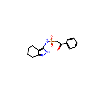 O=C(CS(=O)(=O)Nc1[nH]nc2c1CCCC2)c1ccccc1